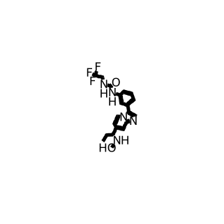 CCC(NO)c1ccn2c(-c3cccc(NC(=O)NCC(F)(F)F)c3)cnc2c1